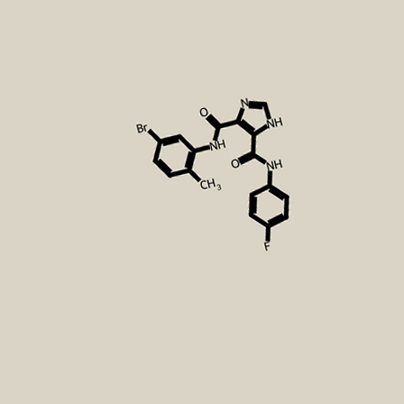 Cc1ccc(Br)cc1NC(=O)c1nc[nH]c1C(=O)Nc1ccc(F)cc1